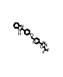 FC(F)c1nnc(-c2ccc(COc3ccc(-c4nc5ccccc5[nH]4)cc3)nc2)o1